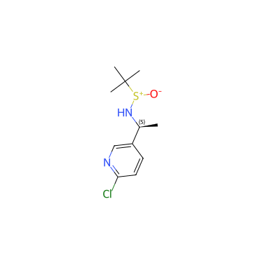 C[C@H](N[S+]([O-])C(C)(C)C)c1ccc(Cl)nc1